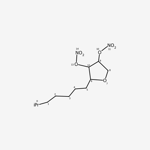 CC(C)CCCCCC1OCC(O[N+](=O)[O-])C1O[N+](=O)[O-]